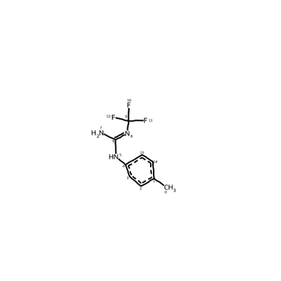 Cc1ccc(NC(N)=NC(F)(F)F)cc1